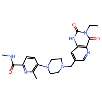 CCn1c(=O)[nH]c2cc(CN3CCN(c4ccc(C(=O)NC)nc4C)CC3)cnc2c1=O